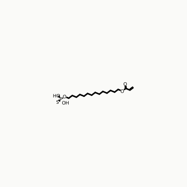 C=CC(=O)OCCCCCCCCCCCCCCOP(O)(O)=S